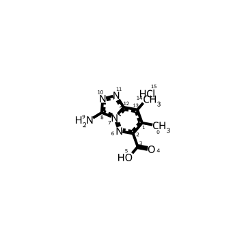 Cc1c(C(=O)O)nn2c(N)nnc2c1C.Cl